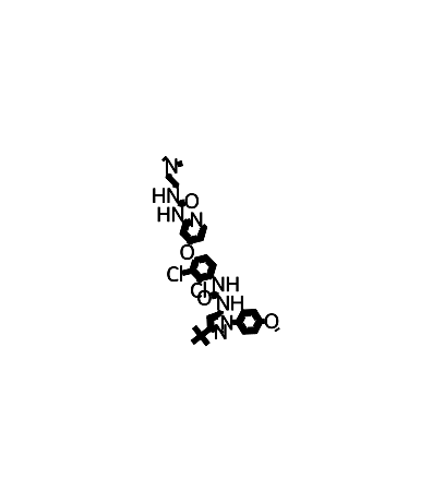 COc1ccc(-n2nc(C(C)(C)C)cc2NC(=O)Nc2ccc(Oc3ccnc(NC(=O)NCCN(C)C)c3)c(Cl)c2Cl)cc1